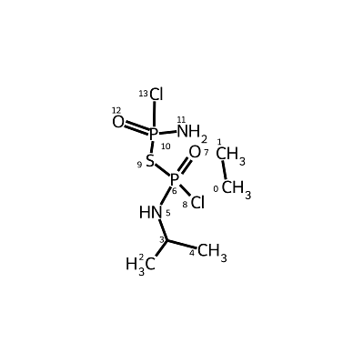 CC.CC(C)NP(=O)(Cl)SP(N)(=O)Cl